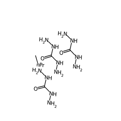 CCCC.NNC(=O)NN.NNC(=O)NN.NNC(=O)NN